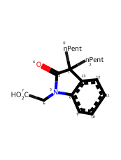 CCCCCC1(CCCCC)C(=O)N(CC(=O)O)c2ccccc21